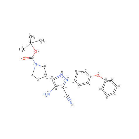 CC(C)(C)OC(=O)N1CC[C@@H](c2nn(-c3ccc(Oc4ccccc4)cc3)c(C#N)c2N)C1